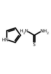 NC(N)=S.c1cc[nH]c1